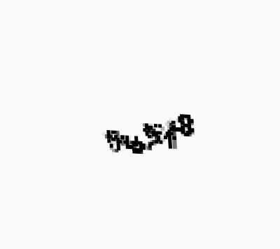 CC(C)(C)OC(=O)NCc1ccc(CCCN(CCNC(=O)c2cccc3ccccc23)C(=O)OC(C)(C)C)cc1